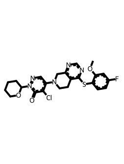 COc1cc(F)ccc1Sc1ncnc2c1CCN(c1cnn(C3CCCCO3)c(=O)c1Cl)C2